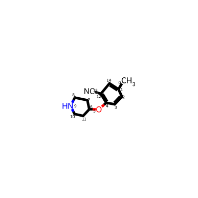 Cc1ccc(OC2CCNCC2)c(C#N)c1